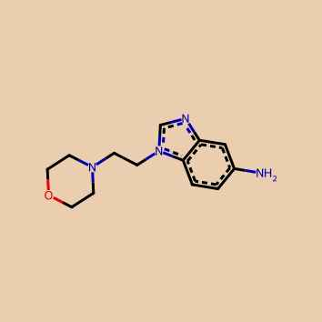 Nc1ccc2c(c1)ncn2CCN1CCOCC1